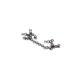 C=CC(=O)N1CCN(c2nc(O[C@H](C)CN3CCC(OCCOCCOCCOCCOCCOCC(=O)N[C@H](C(=O)N4C[C@H](O)C[C@H]4C(=O)N[C@@H](C)c4ccc(-c5scnc5C)cc4)C(C)(C)C)CC3)nc3c2CCN(c2cc(O)cc4ccccc24)C3)CC1